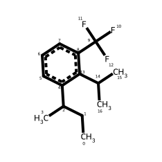 CCC(C)c1cccc(C(F)(F)F)c1C(C)C